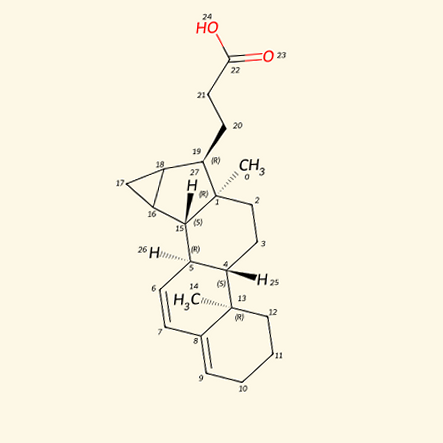 C[C@]12CC[C@H]3[C@@H](C=CC4=CCCC[C@@]43C)[C@@H]1C1CC1[C@H]2CCC(=O)O